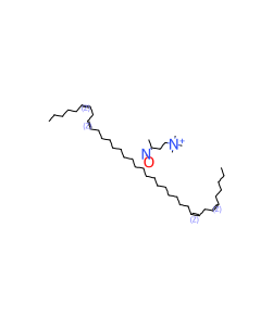 CCCCC/C=C\C/C=C\CCCCCCCCC(CCCCCCCC/C=C\C/C=C\CCCCC)ON=C(C)CC[N+](C)(C)C